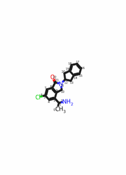 CC(N)c1cc(Cl)cc2c1CN(C1Cc3ccccc3C1)C2=O